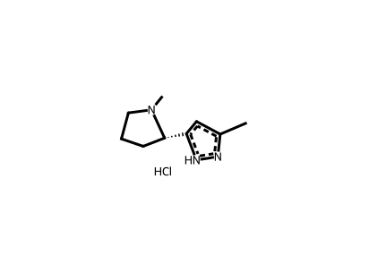 Cc1cc([C@@H]2CCCN2C)[nH]n1.Cl